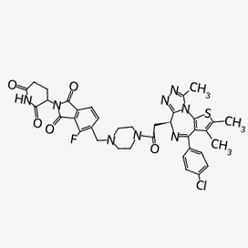 Cc1sc2c(c1C)C(c1ccc(Cl)cc1)=N[C@@H](CC(=O)N1CCN(Cc3ccc4c(c3F)C(=O)N(C3CCC(=O)NC3=O)C4=O)CC1)c1nnc(C)n1-2